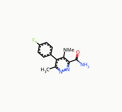 CNc1c(C(N)=O)nnc(C)c1-c1ccc(F)cc1